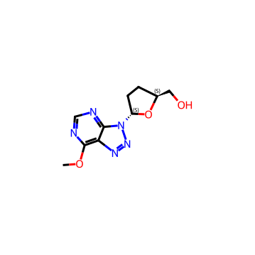 COc1ncnc2c1nnn2[C@@H]1CC[C@@H](CO)O1